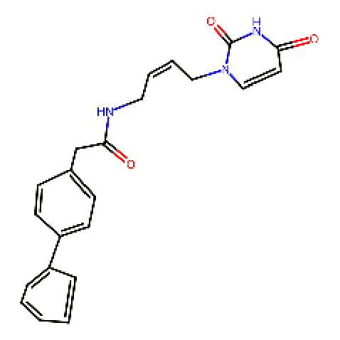 O=C(Cc1ccc(-c2ccccc2)cc1)NC/C=C\Cn1ccc(=O)[nH]c1=O